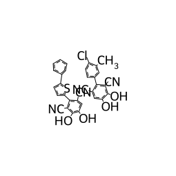 Cc1cc(-c2c(C#N)cc(O)c(O)c2C#N)ccc1Cl.N#Cc1cc(O)c(O)c(C#N)c1-c1ccc(-c2ccccc2)s1